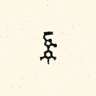 CC(=O)NCC1CN(c2cc(F)c(I)c(F)c2)C(=O)O1